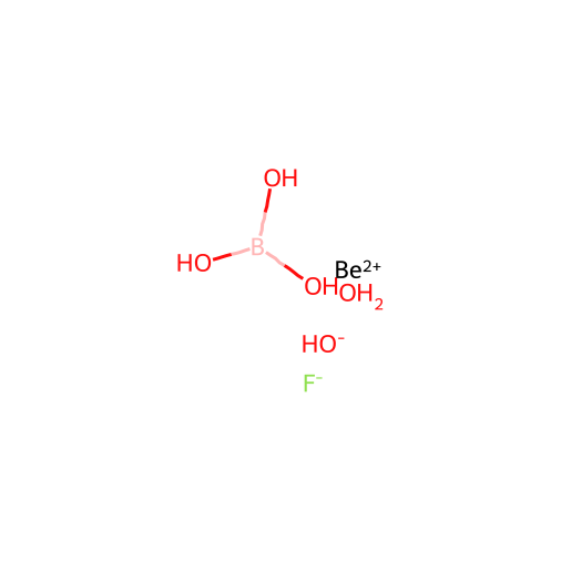 O.OB(O)O.[Be+2].[F-].[OH-]